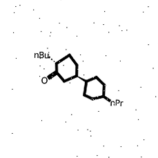 CCCC[C@@H]1CC[C@@H](C2CCC(CCC)CC2)CC1=O